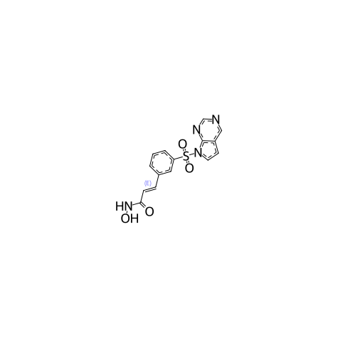 O=C(/C=C/c1cccc(S(=O)(=O)n2ccc3cncnc32)c1)NO